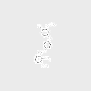 CC(=O)OOc1cc(Oc2ccc(CNc3cccc([N+](=O)[O-])c3C)cc2)ccc1Cl